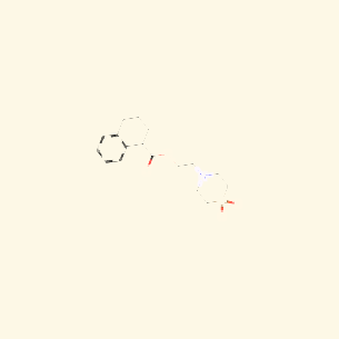 O=C(OCCN1CCS(=O)(=O)CC1)C1CCCc2ccccc21